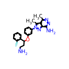 Cc1nnc(N)c2nn(-c3cccc(OC(CCN)c4ccccc4F)c3)c(C)c12